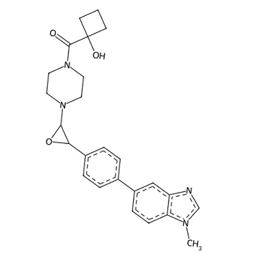 Cn1cnc2cc(-c3ccc(C4OC4N4CCN(C(=O)C5(O)CCC5)CC4)cc3)ccc21